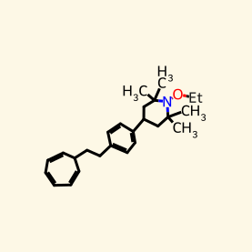 CCON1C(C)(C)CC(c2ccc(CCC3C=CC=CC=C3)cc2)CC1(C)C